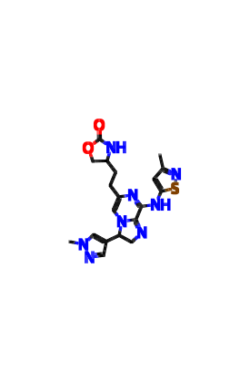 Cc1cc(NC2=NC(CCC3COC(=O)N3)=CN3C2=NCC3c2cnn(C)c2)sn1